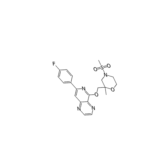 CC1(COc2nc(-c3ccc(F)cc3)cc3nccnc23)CN(S(C)(=O)=O)CCO1